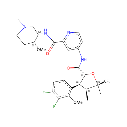 COc1c([C@H]2[C@H](C(=O)Nc3ccnc(C(=O)N[C@H]4CN(C)CC[C@H]4OC)c3)O[C@@](C)(C(F)(F)F)[C@H]2C)ccc(F)c1F